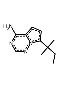 CCC(C)(C)c1ccc2c(N)ncnn12